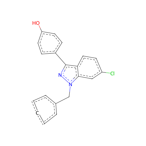 Oc1ccc(-c2nn(Cc3ccccc3)c3cc(Cl)ccc23)cc1